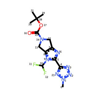 Cn1nnc(-c2nc3c(n2C(F)F)CN(C(=O)OC(C)(C)C)C3)n1